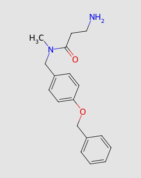 CN(Cc1ccc(OCc2ccccc2)cc1)C(=O)CCN